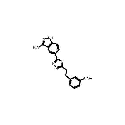 COc1cccc(CCc2nnc(-c3ccc4[nH]nc(N)c4c3)o2)c1